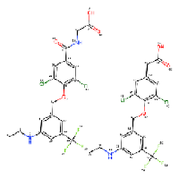 CCNc1cc(COc2c(Cl)cc(C(=O)NCC(=O)O)cc2Cl)cc(C(F)(F)F)c1.CCNc1cc(COc2c(Cl)cc(CC(=O)O)cc2Cl)cc(C(F)(F)F)c1